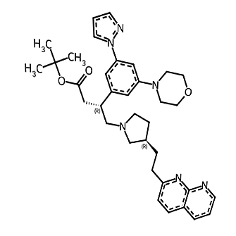 CC(C)(C)OC(=O)C[C@@H](CN1CC[C@@H](CCc2ccc3cccnc3n2)C1)c1cc(N2CCOCC2)cc(-n2cccn2)c1